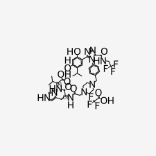 CC(C)c1cc(-c2nnc(C(=O)NCC(F)(F)F)n2-c2ccc(CN3CCN(CC(=O)N[C@@H](Cc4c[nH]cn4)C(=O)N[C@H](C(=O)O)C(C)C)CC3)cc2)c(O)cc1O.O=C(O)C(F)(F)F